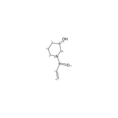 C=CC(=O)N1C[CH]CC(O)C1